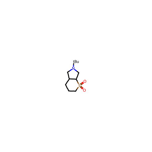 CC(C)(C)N1CC2CCCS(=O)(=O)C2C1